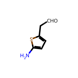 Nc1ccc(CC=O)s1